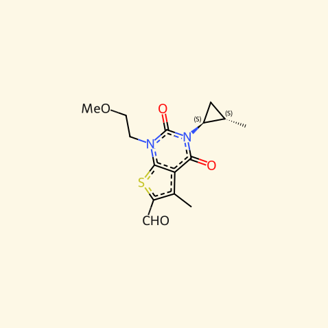 COCCn1c(=O)n([C@H]2C[C@@H]2C)c(=O)c2c(C)c(C=O)sc21